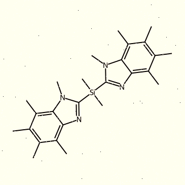 Cc1c(C)c(C)c2c(nc([Si](C)(C)c3nc4c(C)c(C)c(C)c(C)c4n3C)n2C)c1C